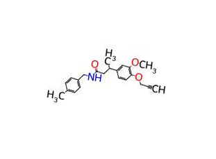 C#CCOc1ccc(C(C)CC(=O)NCc2ccc(C)cc2)cc1OC